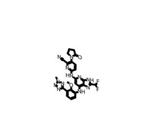 COc1c(Nc2cc(Nc3ccc(N4CCCC4=O)c(C#N)n3)nc3[nH]c(C(F)F)nc23)cccc1-c1nnn(C)n1